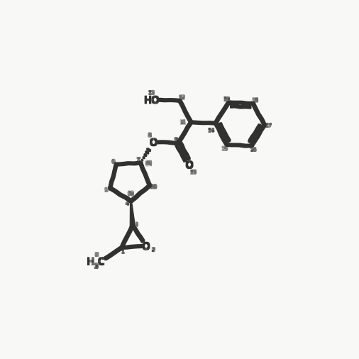 CC1OC1[C@H]1CC[C@H](OC(=O)C(CO)c2ccccc2)C1